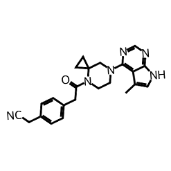 Cc1c[nH]c2ncnc(N3CCN(C(=O)Cc4ccc(CC#N)cc4)C4(CC4)C3)c12